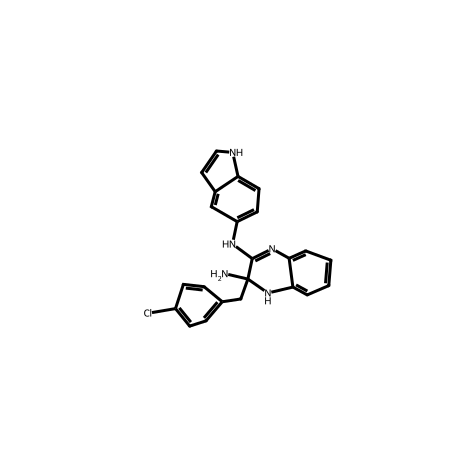 NC1(Cc2ccc(Cl)cc2)Nc2ccccc2N=C1Nc1ccc2[nH]ccc2c1